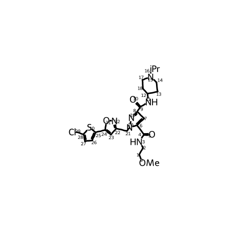 COCCNC(=O)c1cc(C(=O)NC2CCN(C(C)C)CC2)nn1Cc1cc(-c2ccc(Cl)s2)on1